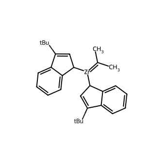 C[C](C)=[Zr]([CH]1C=C(C(C)(C)C)c2ccccc21)[CH]1C=C(C(C)(C)C)c2ccccc21